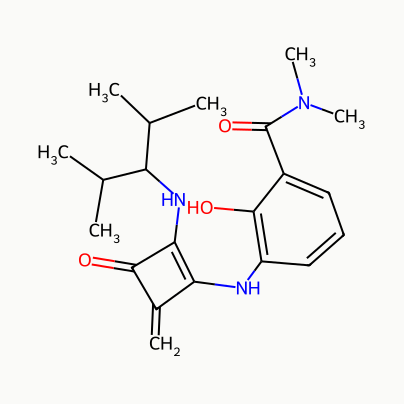 C=C1C(=O)C(NC(C(C)C)C(C)C)=C1Nc1cccc(C(=O)N(C)C)c1O